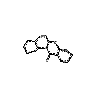 O=c1c2ccccc2sc2ccc3ccccc3c12